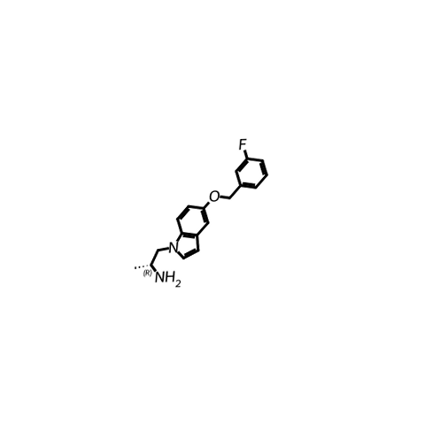 C[C@@H](N)Cn1ccc2cc(OCc3cccc(F)c3)ccc21